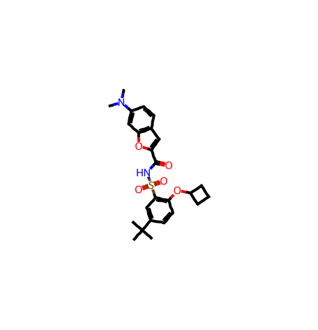 CN(C)c1ccc2cc(C(=O)NS(=O)(=O)c3cc(C(C)(C)C)ccc3OC3CCC3)oc2c1